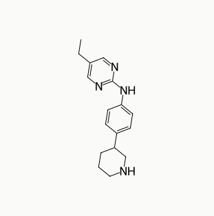 CCc1cnc(Nc2ccc(C3CCCNC3)cc2)nc1